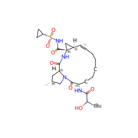 C[C@@H]1C[C@H]2C(=O)N[C@]3(C(=O)NS(=O)(=O)C4CC4)C[C@H]3/C=C\CCCCC[C@H](NC(=O)C(O)C(C)(C)C)C(=O)N2C1